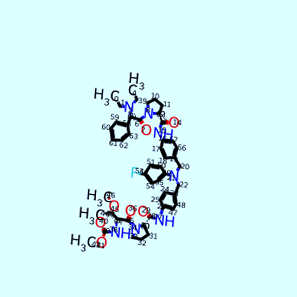 CCN(CC)[C@@H](C(=O)N1CCC[C@H]1C(=O)Nc1ccc(CN(Cc2ccc(NC(=O)[C@@H]3CCCN3C(=O)[C@@H](NC(=O)OC)[C@@H](C)OC)cc2)c2ccc(F)cc2)cc1)c1ccccc1